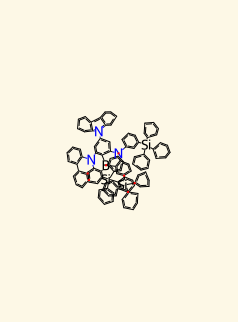 c1ccc(-c2ccccc2N2c3cc(-n4c5ccccc5c5ccccc54)cc4c3B(c3cc([Si](c5ccccc5)(c5ccccc5)c5ccccc5)ccc3N4c3cccc([Si](c4ccccc4)(c4ccccc4)c4ccccc4)c3)c3c2cccc3[Si](c2ccccc2)(c2ccccc2)c2ccccc2)cc1